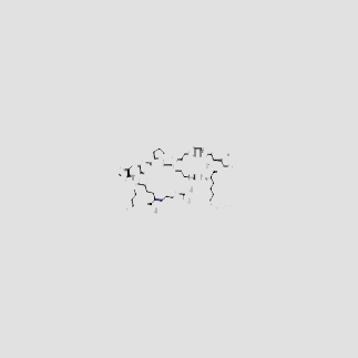 CNCCCC[C@H](N)C(=O)N[C@H](C(=O)N[C@@H](C)C(=O)NCC(=O)N[C@H](CCCN)C(=O)N1CCC[C@H]1C(=O)N[C@@H](Cc1cnc[nH]1)C(=O)N[C@@H](CCCCN)C(=O)CC/C(=C\CCNC(=N)N)C(N)=O)[C@@H](O)CN